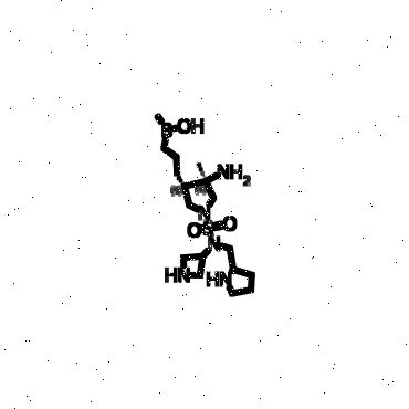 CB(O)CCC[C@H]1CN(S(=O)(=O)N(CC2CCCN2)C2CNC2)C[C@]1(C)N